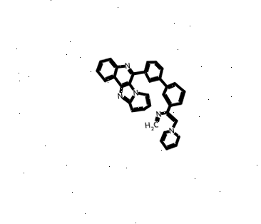 C=N/C(=C\N1C=CC=CC1)c1cccc(-c2cccc(-c3nc4ccccc4c4nc5ccccn5c34)c2)c1